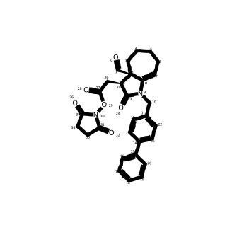 O=C[C@@]12CCCCC=C1N(Cc1ccc(-c3ccccc3)cc1)C(=O)[C@H]2CC(=O)ON1C(=O)CCC1=O